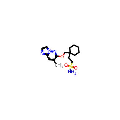 Cc1cc2nccn2nc1OCC1(CCS(N)(=O)=O)CCCCC1